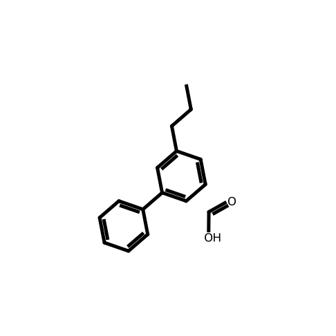 CCCc1cccc(-c2ccccc2)c1.O=CO